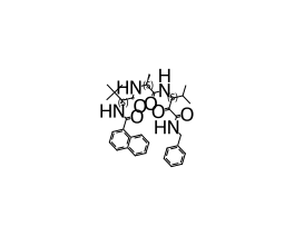 CC(C)[C@H](NC(=O)[C@H](C)NC(=O)[C@@H](NC(=O)c1cccc2ccccc12)C(C)(C)C)C(=O)C(=O)NCc1ccccc1